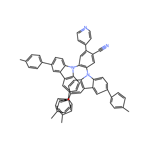 Cc1ccc(-c2ccc3c(c2)c2cc(-c4ccc(C)cc4)ccc2n3-c2cc(C#N)c(-c3ccncc3)cc2-n2c3ccc(-c4ccc(C)cc4)cc3c3cc(-c4ccc(C)cc4)ccc32)cc1